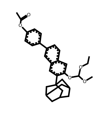 CCOC(OC)Oc1cc2ccc(-c3ccc(OC(C)=O)cc3)cc2cc1C12CC3CC(CC(C3)C1)C2